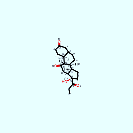 CCC(=O)[C@@]1(O)CC[C@H]2[C@@H]3CCC4CC(=O)CC[C@]4(C)[C@H]3C(=O)C[C@@]21C